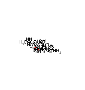 Cc1ncnc2c1ncn2[C@@H]1O[C@@H]2OP(=O)(S)O[C@H]3[C@@H](Cl)[C@H](n4cnc5c(N)ncnc54)O[C@@H]3COP(=O)(S)O[C@@H]1C2O[Si](C)(C)C(C)(C)C